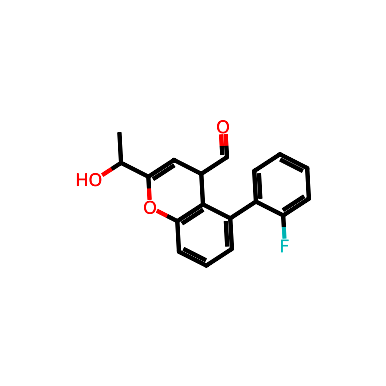 CC(O)C1=CC(C=O)c2c(cccc2-c2ccccc2F)O1